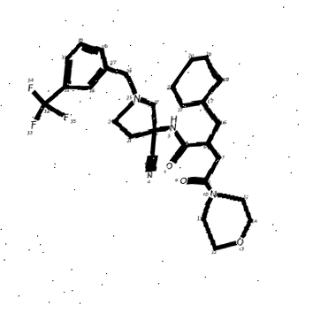 N#CC1(NC(=O)C(CC(=O)N2CCOCC2)CC2CCCCC2)CCN(Cc2cccc(C(F)(F)F)c2)C1